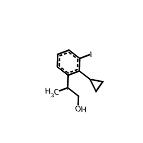 C[C](CO)c1cccc(I)c1C1CC1